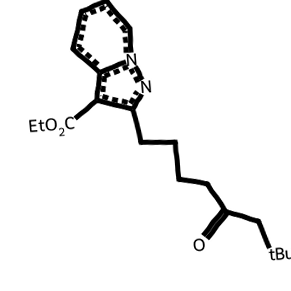 CCOC(=O)c1c(CCCCC(=O)CC(C)(C)C)nn2ccccc12